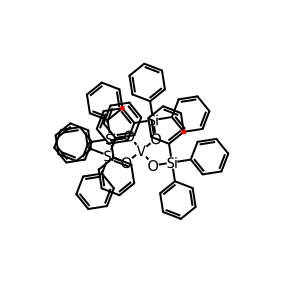 c1ccc([Si]([O][V]([O][Si](c2ccccc2)(c2ccccc2)c2ccccc2)([O][Si](c2ccccc2)(c2ccccc2)c2ccccc2)[O][Si](c2ccccc2)(c2ccccc2)c2ccccc2)(c2ccccc2)c2ccccc2)cc1